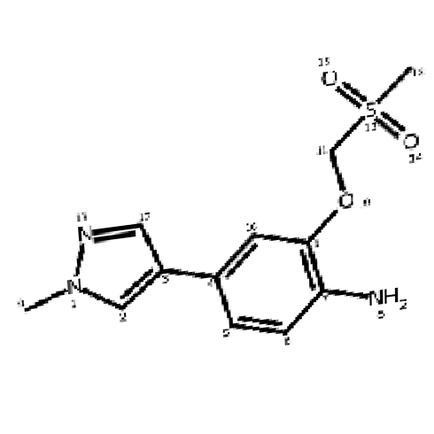 Cn1cc(-c2ccc(N)c(OCS(C)(=O)=O)c2)cn1